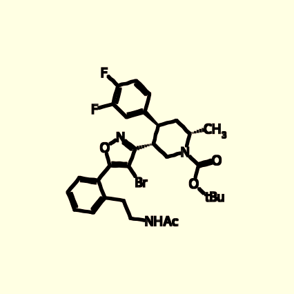 CC(=O)NCCc1ccccc1-c1onc([C@H]2CN(C(=O)OC(C)(C)C)[C@@H](C)C[C@@H]2c2ccc(F)c(F)c2)c1Br